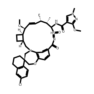 COc1nn(C)cc1C(=O)NC1[C@@H](C)[C@@H](F)/C=C/[C@H](OC)[C@@H]2CC[C@H]2CN2C[C@@]3(CCCc4cc(Cl)ccc43)COc3ccc(cc32)C(=O)/N=[SH]\1=O